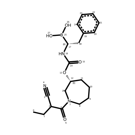 CCC(C#N)C(=O)N1CCCC[C@@H](OC(=O)N[C@@H](Cc2ccccc2)B(O)O)C1